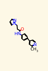 Cc1cc(-c2ccc(NC(=O)CCn3cccn3)cc2)ccn1